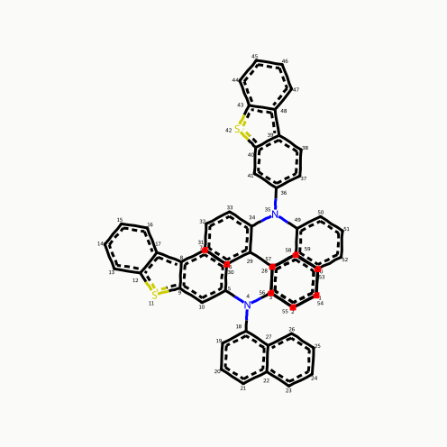 c1ccc(N(c2ccc3c(c2)sc2ccccc23)c2cccc3ccccc23)c(-c2ccccc2N(c2ccc3c(c2)sc2ccccc23)c2cccc3ccccc23)c1